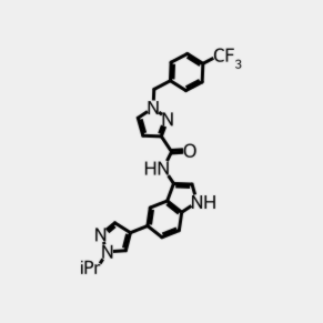 CC(C)n1cc(-c2ccc3[nH]cc(NC(=O)c4ccn(Cc5ccc(C(F)(F)F)cc5)n4)c3c2)cn1